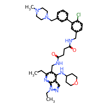 CCc1nc2c(cnn2CC)c(NC2CCOCC2)c1CNC(=O)CCC(=O)NCc1ccc(Cl)c(-c2cccc(CN3CCN(C)CC3)c2)c1